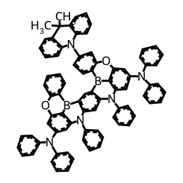 CC1(C)c2ccccc2N(c2ccc3c(c2)Oc2cc(N(c4ccccc4)c4ccccc4)cc4c2B3c2cc3c(cc2N4c2ccccc2)N(c2ccccc2)c2cc(N(c4ccccc4)c4ccccc4)cc4c2B3c2ccccc2O4)c2ccccc21